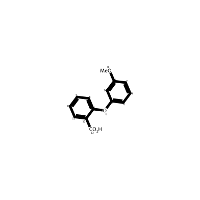 COc1cccc(Oc2ccccc2C(=O)O)c1